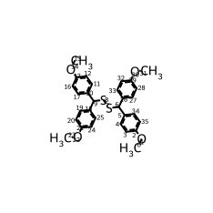 COc1ccc(C(SSC(c2ccc(OC)cc2)c2ccc(OC)cc2)c2ccc(OC)cc2)cc1